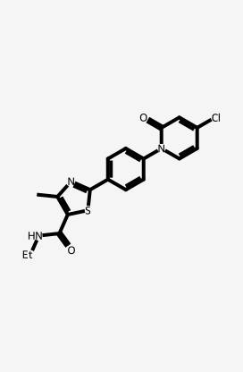 CCNC(=O)c1sc(-c2ccc(-n3ccc(Cl)cc3=O)cc2)nc1C